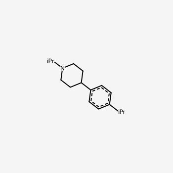 CC(C)c1ccc(C2CCN(C(C)C)CC2)cc1